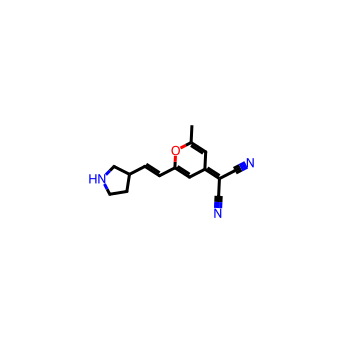 CC1=CC(=C(C#N)C#N)C=C(C=CC2CCNC2)O1